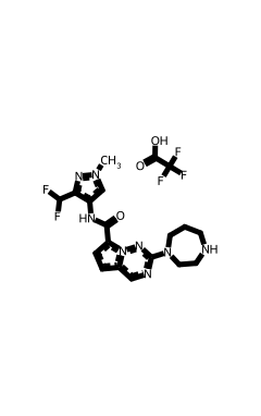 Cn1cc(NC(=O)c2ccc3cnc(N4CCCNCC4)nn23)c(C(F)F)n1.O=C(O)C(F)(F)F